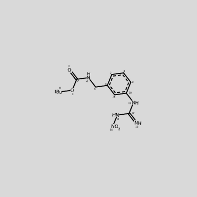 CC(C)(C)OC(=O)NCc1cccc(NC(=N)N[N+](=O)[O-])c1